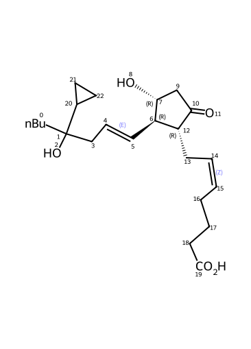 CCCCC(O)(C/C=C/[C@H]1[C@H](O)CC(=O)[C@@H]1C/C=C\CCCC(=O)O)C1CC1